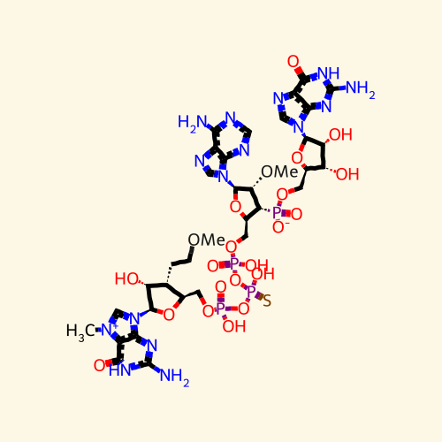 COCC[C@H]1[C@@H](O)[C@H](n2c[n+](C)c3c(=O)[nH]c(N)nc32)O[C@@H]1COP(=O)(O)OP(O)(=S)OP(=O)(O)OC[C@H]1O[C@@H](n2cnc3c(N)ncnc32)[C@H](OC)[C@@H]1P(=O)([O-])OC[C@H]1O[C@@H](n2cnc3c(=O)[nH]c(N)nc32)[C@H](O)[C@@H]1O